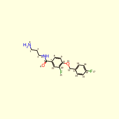 NCCCNC(=O)c1ccc(OCc2ccc(F)cc2)c(F)c1